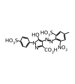 Cc1cc([N+](=O)[O-])c(N=Nc2c(C(=O)O)nn(-c3ccc(S(=O)(=O)O)cc3)c2O)c(S(=O)(=O)O)c1